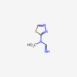 N=CN(C(=O)O)c1nncs1